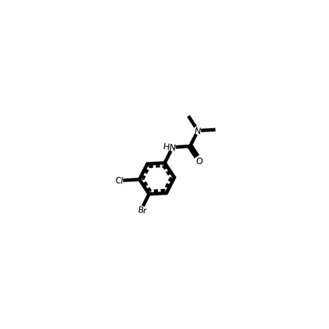 CN(C)C(=O)Nc1ccc(Br)c(Cl)c1